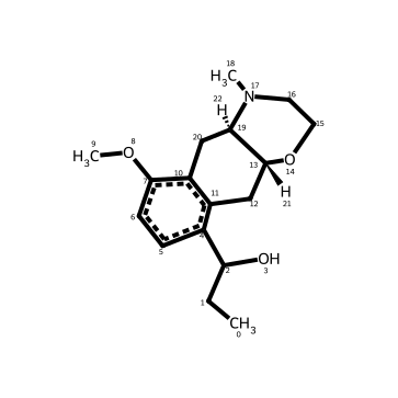 CCC(O)c1ccc(OC)c2c1C[C@H]1OCCN(C)[C@@H]1C2